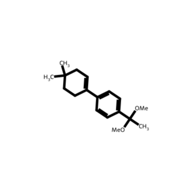 COC(C)(OC)c1ccc(C2=CCC(C)(C)CC2)cc1